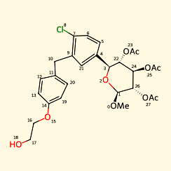 CO[C@H]1O[C@@H](c2ccc(Cl)c(Cc3ccc(OCCO)cc3)c2)[C@H](OC(C)=O)[C@@H](OC(C)=O)[C@@H]1OC(C)=O